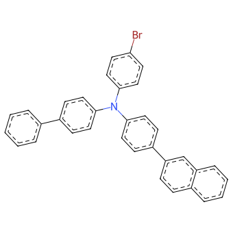 Brc1ccc(N(c2ccc(-c3ccccc3)cc2)c2ccc(-c3ccc4ccccc4c3)cc2)cc1